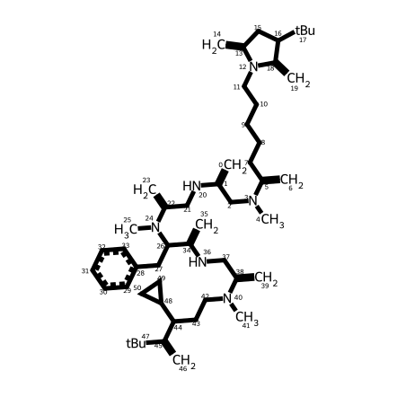 C=C(CN(C)C(=C)CCCCCN1C(=C)CC(C(C)(C)C)C1=C)NCC(=C)N(C)C(Cc1ccccc1)C(=C)NCC(=C)N(C)CCC(C(=C)C(C)(C)C)C1CC1